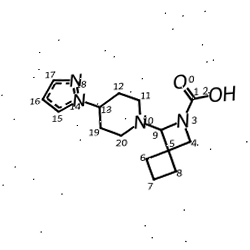 O=C(O)N1CC2(CCC2)C1N1CCC(n2cccn2)CC1